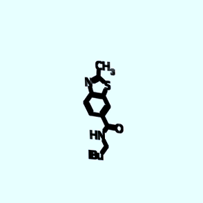 CCC(C)CNC(=O)c1ccc2nc(C)sc2c1